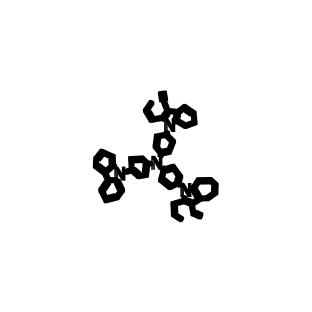 C#Cc1c2c(n(C3C=CC(N(c4ccc(-n5c6c(c(C=C)c5/C=C\C)CC=CC=C6)cc4)c4ccc(-n5c6ccccc6c6ccccc65)cc4)=CC3)c1/C=C\C)CCC=C2